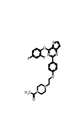 CC(=O)N1CCN(CCOc2ccc(-c3nc(Oc4ccc(F)cc4F)c4sccc4n3)cc2)CC1